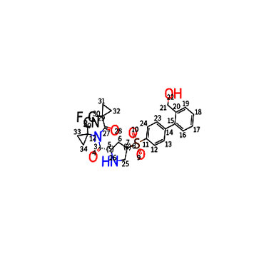 N#CC1(N(C(=O)[C@@H]2C[C@@H](S(=O)(=O)c3ccc(-c4ccccc4CO)cc3)CN2)C(=O)C2(C(F)(F)F)CC2)CC1